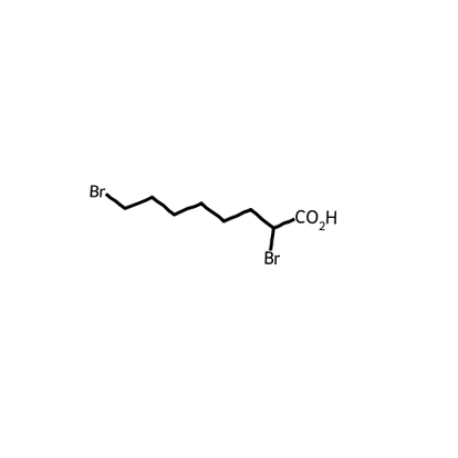 O=C(O)C(Br)CCCCCCBr